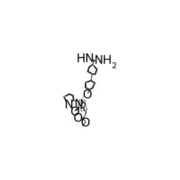 COC(=O)C[C@@H]1C[C@@H](COc2ccc(-c3ccc(C(=N)N)cc3)cc2)N(c2ccccn2)C1=O